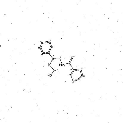 O=C(NCC(CCO)c1ccccc1)c1ccccc1